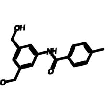 Cc1ccc(C(=O)Nc2cc(CO)cc(CO)c2)cc1